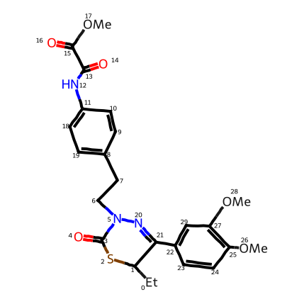 CCC1SC(=O)N(CCc2ccc(NC(=O)C(=O)OC)cc2)N=C1c1ccc(OC)c(OC)c1